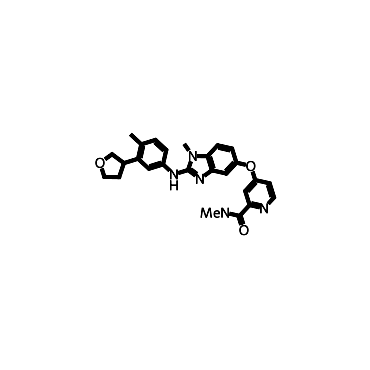 CNC(=O)c1cc(Oc2ccc3c(c2)nc(Nc2ccc(C)c(C4CCOC4)c2)n3C)ccn1